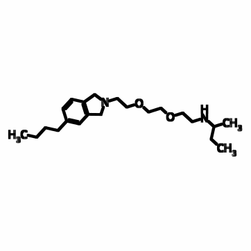 CCCCc1ccc2c(c1)CN(CCOCCOCCNC(C)CC)C2